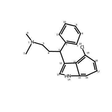 CN(C)CCC(c1ccccc1)c1c[nH]c2cccc(Cl)c12